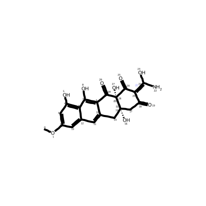 COc1cc(O)c2c(O)c3c(cc2c1)C[C@]1(O)CC(=O)/C(=C(\N)O)C(=O)[C@]1(O)C3=O